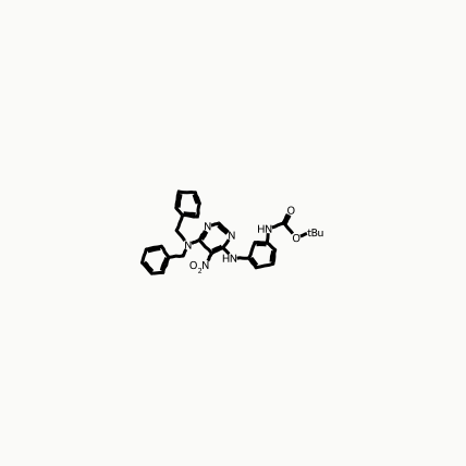 CC(C)(C)OC(=O)Nc1cccc(Nc2ncnc(N(Cc3ccccc3)Cc3ccccc3)c2[N+](=O)[O-])c1